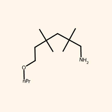 CCCOCCC(C)(C)CC(C)(C)CN